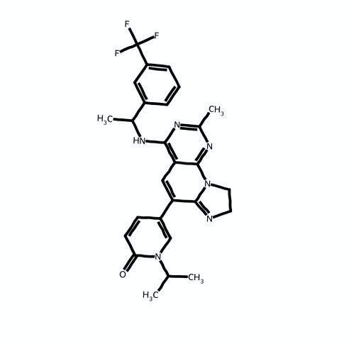 Cc1nc(NC(C)c2cccc(C(F)(F)F)c2)c2c(n1)N1CCN=C1C(c1ccc(=O)n(C(C)C)c1)=C2